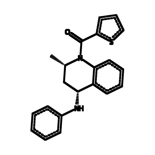 C[C@H]1C[C@@H](Nc2ccccc2)c2ccccc2N1C(=O)c1cccs1